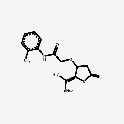 CCCCCC/C(C)=C1\SC(=O)CC1OCC(=O)Nc1ccccc1C(F)(F)F